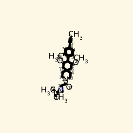 CC#Cc1cc(C)c(C2C(=O)CC3(CCN(C(=O)/C=N/N(C)C)CC3)CC2=O)c(C)c1